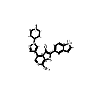 Nc1ncc(-c2cnn(C3CCNCC3)c2)c2c(Cl)c(-c3ccc4[nH]ccc4c3)oc12